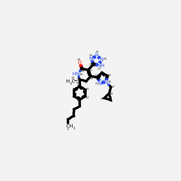 CCCCCc1ccc([C@]2(C)CC(c3ccn(CC4CC4)n3)=C(c3nnn[nH]3)C(=O)N2)cc1